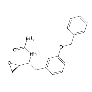 BC(=O)N[C@H](Cc1cccc(OCc2ccccc2)c1)[C@H]1CO1